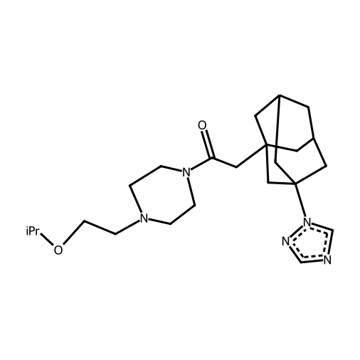 CC(C)OCCN1CCN(C(=O)CC23CC4CC(C2)CC(n2cncn2)(C4)C3)CC1